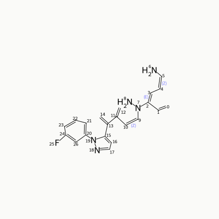 C=C/C(=C\C=C/N)N(N)/C=C\C(=C)C(=C)c1ccnn1-c1cccc(F)c1